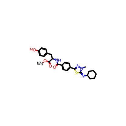 Cn1nc(-c2ccc(C(=O)NC(Cc3ccc(O)cc3)C(=O)OC(C)(C)C)cc2)s/c1=N/C1CCCCC1